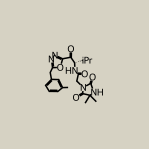 Cc1cccc(Cc2nnc(C(=O)[C@@H](NC(=O)CN3C(=O)NC(C)(C)C3=O)C(C)C)o2)c1